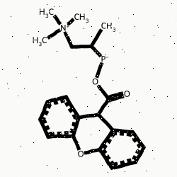 CC(C[N+](C)(C)C)[P-]OC(=O)C1c2ccccc2Oc2ccccc21